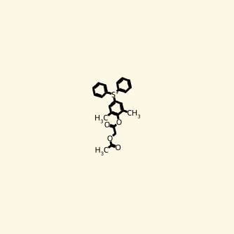 CC(=O)OCC(=O)Oc1c(C)cc([S+](c2ccccc2)c2ccccc2)cc1C